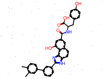 Cc1ccc(-c2cccc(-c3nc4c(ccc5cc(C(=O)NC(Cc6ccc(O)cc6)C(=O)O)cc(O)c54)[nH]3)c2)cc1C